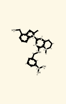 Cc1cc2c(CN)cccc2n1-c1nc2c(c(NCc3cccc(B(O)O)c3)n1)N(C)CCC2